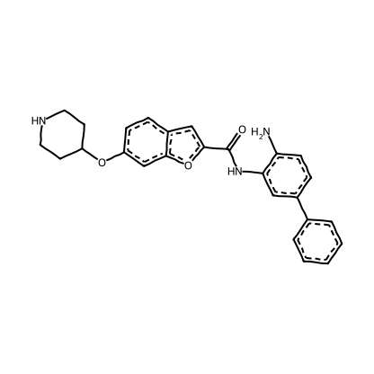 Nc1ccc(-c2ccccc2)cc1NC(=O)c1cc2ccc(OC3CCNCC3)cc2o1